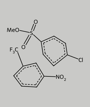 COS(=O)(=O)c1ccc(Cl)cc1.O=[N+]([O-])c1cccc(C(F)(F)F)c1